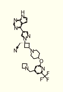 N#CC[C@]1(n2cc(-c3ncnc4[nH]ccc34)cn2)C[C@@H](N2CCC(Oc3cc(CN4CCC4)cc(C(F)(F)F)n3)CC2)C1